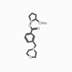 COC1CCCN1OC(=O)c1cccc(CN2CCOCC2)c1